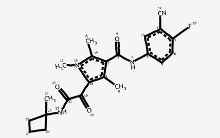 Cc1c(C(=O)Nc2ccc(F)c(C#N)c2)c(C)n(C)c1C(=O)C(=O)NC1(C)CCC1